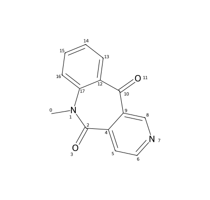 Cn1c(=O)c2ccncc2c(=O)c2ccccc21